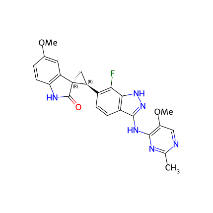 COc1ccc2c(c1)[C@]1(C[C@H]1c1ccc3c(Nc4nc(C)ncc4OC)n[nH]c3c1F)C(=O)N2